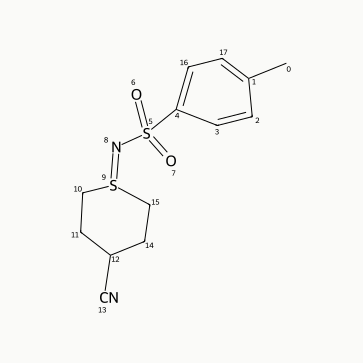 Cc1ccc(S(=O)(=O)N=S2CCC(C#N)CC2)cc1